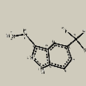 NNc1n[nH]c2ccc(C(F)(F)F)cc12